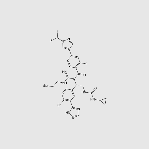 CC(C)(C)CCNC(=N)N(C(=O)c1ccc(-c2cnn(C(F)F)c2)cc1F)[C@H](CNC(=O)NC1CC1)c1ccc(Cl)c(-c2ncn[nH]2)c1